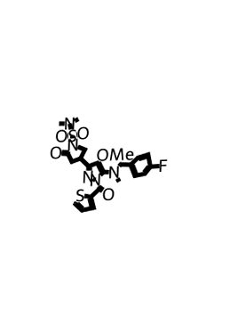 COc1c(C2CC(=O)N(S(=O)(=O)N(C)C)C2)nn(C(=O)c2cccs2)c1N(C)Cc1ccc(F)cc1